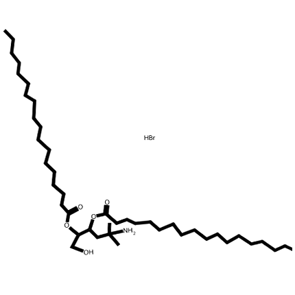 Br.CCCCCCCCCCCCCCCCCC(=O)OC(CO)C(CC(C)(C)N)OC(=O)CCCCCCCCCCCCCCCCC